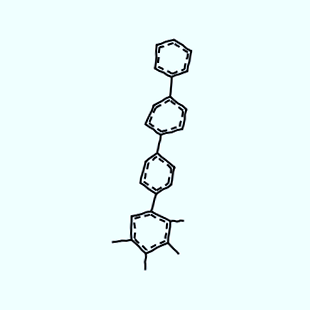 Cc1cc(-c2ccc(-c3ccc(-c4ccccc4)cc3)cc2)c(C)c(C)c1C